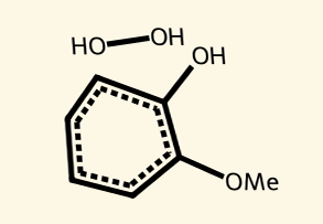 COc1ccccc1O.OO